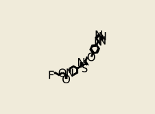 O=C(OCCF)N1CCC(c2nc(COc3ccc(-n4cnnn4)cc3)cs2)CC1